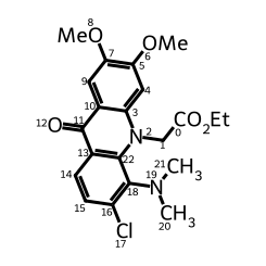 CCOC(=O)Cn1c2cc(OC)c(OC)cc2c(=O)c2ccc(Cl)c(N(C)C)c21